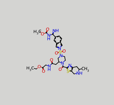 CCOC(=O)CNC(=O)CC1CN(S(=O)(=O)n2cc3ccc(C(=N)NC(=O)OC)cc3c2)CCN1C(=O)c1nc2c(s1)CNC(C)C2